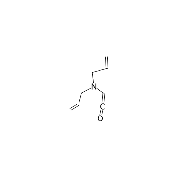 C=CCN(C=C=O)CC=C